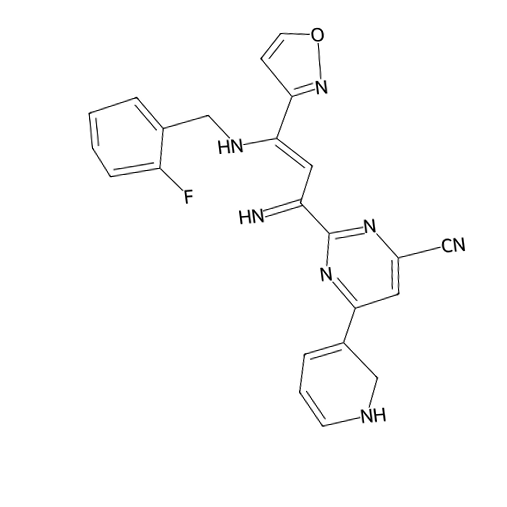 N#Cc1cc(C2=CC=CNC2)nc(C(=N)/C=C(\NCc2ccccc2F)c2ccon2)n1